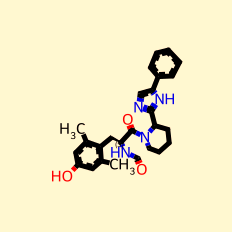 Cc1cc(O)cc(C)c1C[C@H](NC=O)C(=O)N1CCCCC1c1ncc(-c2ccccc2)[nH]1